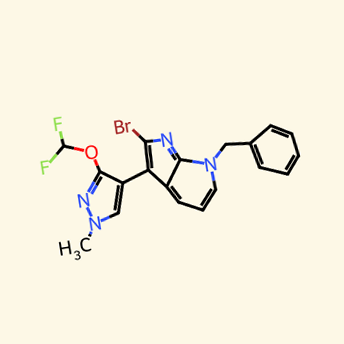 Cn1cc(-c2c3cccn(Cc4ccccc4)c-3nc2Br)c(OC(F)F)n1